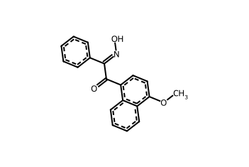 COc1ccc(C(=O)C(=NO)c2ccccc2)c2ccccc12